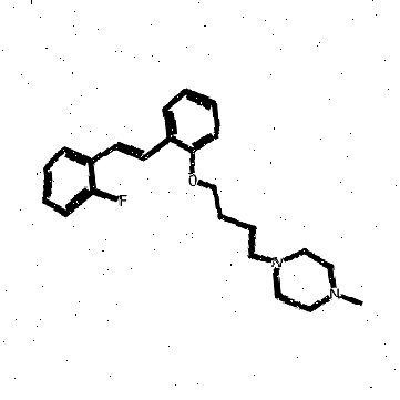 CN1CCN(CCCCOc2ccccc2C=Cc2ccccc2F)CC1